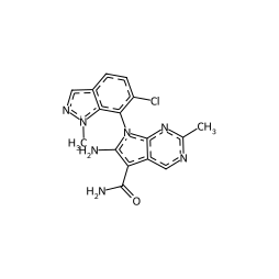 Cc1ncc2c(C(N)=O)c(N)n(-c3c(Cl)ccc4cnn(C)c34)c2n1